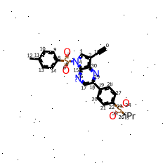 C#Cc1cn(S(=O)(=O)c2ccc(C)cc2)c2ncc(-c3ccc(S(=O)(=O)C(C)C)cc3)nc12